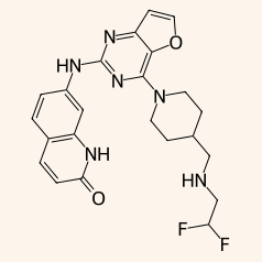 O=c1ccc2ccc(Nc3nc(N4CCC(CNCC(F)F)CC4)c4occc4n3)cc2[nH]1